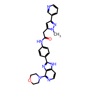 Cn1nc(-c2cccnc2)cc1CC(=O)Nc1ccc(-c2nc3c(N4CCOCC4)nccc3[nH]2)cc1